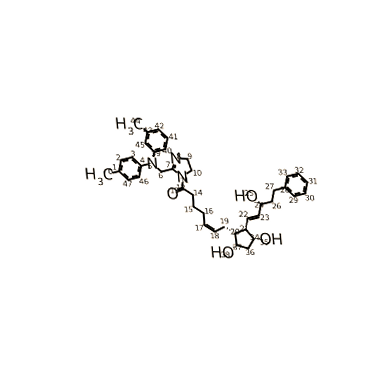 Cc1ccc(N(CC2=NCCN2C(=O)CCC/C=C\C[C@@H]2[C@@H](/C=C/[C@@H](O)CCc3ccccc3)[C@H](O)C[C@@H]2O)c2cccc(C)c2)cc1